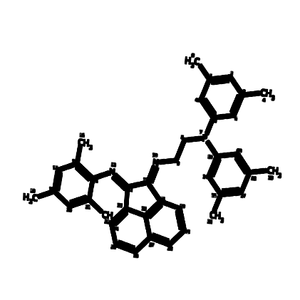 Cc1cc(C)cc(P(CC/N=C2/C(=N/c3c(C)cc(C)cc3C)c3cccc4cccc2c34)c2cc(C)cc(C)c2)c1